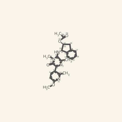 COc1ccc(-c2nc(C)c(N[C@H]3c4ccccc4C[C@@H]3OC(C)=O)n(C)c2=O)c(C)n1